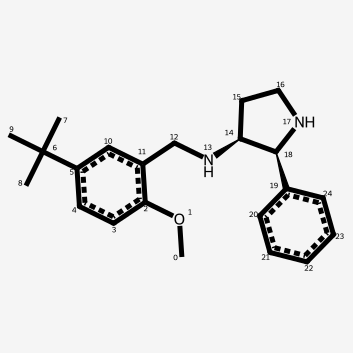 COc1ccc(C(C)(C)C)cc1CN[C@H]1CCN[C@H]1c1ccccc1